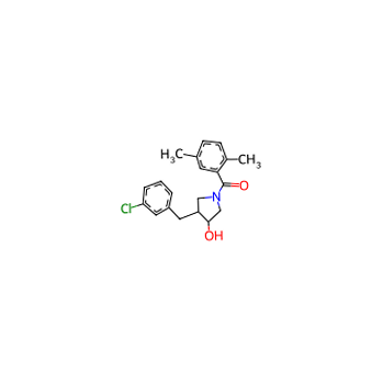 Cc1ccc(C)c(C(=O)N2CC(O)C(Cc3cccc(Cl)c3)C2)c1